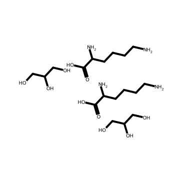 NCCCCC(N)C(=O)O.NCCCCC(N)C(=O)O.OCC(O)CO.OCC(O)CO